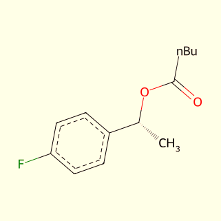 CCCCC(=O)O[C@H](C)c1ccc(F)cc1